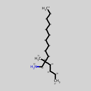 CCCCCCCCCCC(C)(CN)CCCC